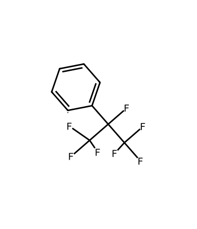 FC(F)(F)C(F)(c1[c]cccc1)C(F)(F)F